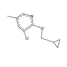 Cc1cnc(OCC2CC2)c(Cl)c1